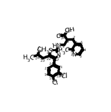 Cc1ncccc1CC(CNc1nc(-c2ccc(Cl)c(Cl)c2)c(CC(C)C)s1)C(=O)O